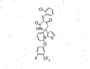 O=C1CC(c2ccsc2)(c2cccc(Oc3ccc(F)c(C(F)(F)F)c3)n2)NC(=O)C1Sc1ccccc1Cl